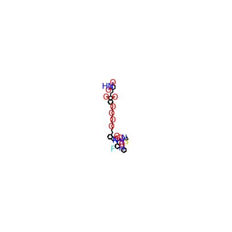 O=C1CCC(CCC2C(=O)c3ccc(OCCOCCOCCOCCCc4cccc5c4C(=O)N(C(C(=O)Nc4nccs4)c4cc(F)ccc4OCc4ccccc4)C5)cc3C2=O)C(=O)N1